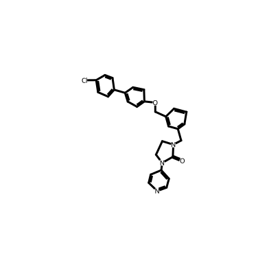 O=C1N(Cc2cccc(COc3ccc(-c4ccc(Cl)cc4)cc3)c2)CCN1c1ccncc1